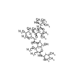 B[C@H](CC(C)C)NC(=O)[C@H](C)[C@@H](OC)[C@@H]1C[C@@H](O)CN1C(=O)C[C@@H](OC)[C@H]([C@@H](C)CC)N(C)C(=O)[C@@H](NC(=O)[C@@H](NC)C(C)C)C(C)C